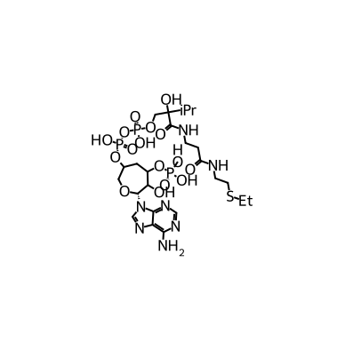 CCSCCNC(=O)CCNC(=O)C(O)(COP(=O)(O)OP(=O)(O)OC1CO[C@@H](n2cnc3c(N)ncnc32)C(O)C(OP(=O)(O)O)C1)C(C)C